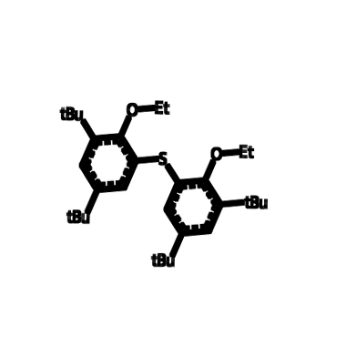 CCOc1c(Sc2cc(C(C)(C)C)cc(C(C)(C)C)c2OCC)cc(C(C)(C)C)cc1C(C)(C)C